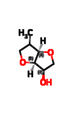 CC1CO[C@@H]2[C@H](O)CO[C@H]12